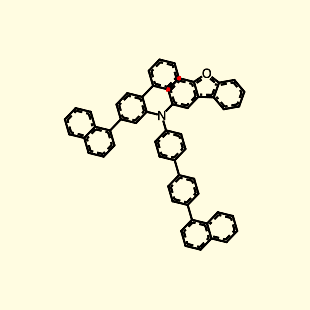 c1ccc(-c2ccc(-c3cccc4ccccc34)cc2N(c2ccc(-c3ccc(-c4cccc5ccccc45)cc3)cc2)c2ccc3oc4ccccc4c3c2)cc1